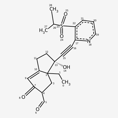 CCC12CC(C=O)C(=O)C=C1CC[C@@]2(O)C#Cc1ncccc1S(=O)(=O)C(C)C